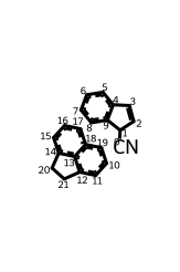 N#CC1C=Cc2ccccc21.c1cc2c3c(cccc3c1)CC2